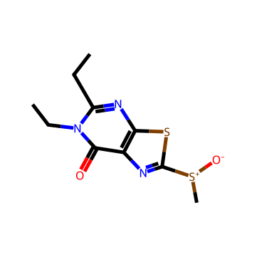 CCc1nc2sc([S+](C)[O-])nc2c(=O)n1CC